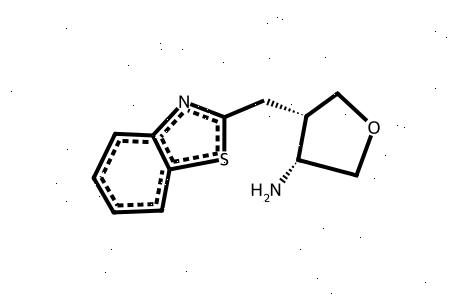 N[C@H]1COC[C@H]1Cc1nc2ccccc2s1